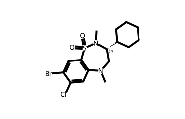 CN1C[C@@H](C2CCCCC2)N(C)S(=O)(=O)c2cc(Br)c(Cl)cc21